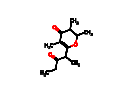 CCC(=O)C(C)C1=C(C)C(=O)C(C)C(C)O1